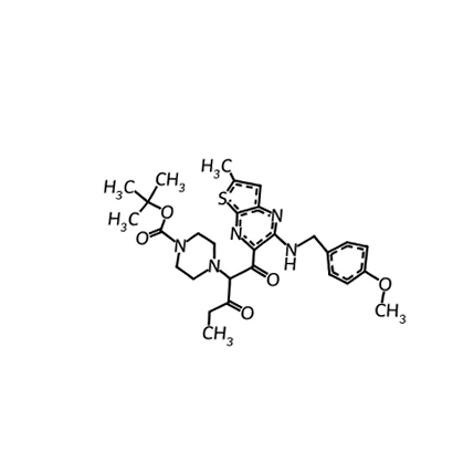 CCC(=O)C(C(=O)c1nc2sc(C)cc2nc1NCc1ccc(OC)cc1)N1CCN(C(=O)OC(C)(C)C)CC1